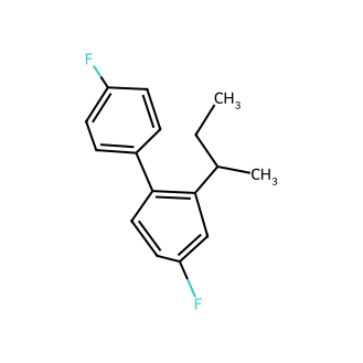 CCC(C)c1cc(F)ccc1-c1ccc(F)cc1